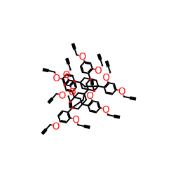 C#CCOc1ccc(C23CC4(c5ccc(OCC#C)cc5OCC#C)CC(c5ccc(OCC#C)cc5OCC#C)(C2)CC(C25CC6(c7ccc(OCC#C)cc7OCC#C)CC(c7ccc(OCC#C)cc7OCC#C)(CC(c7ccc(OCC#C)cc7OCC#C)(C6)C2)C5)(C3)C4)c(OCC#C)c1